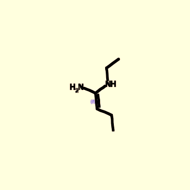 CC/C=C(/N)NCC